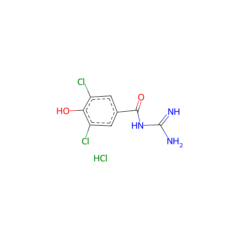 Cl.N=C(N)NC(=O)c1cc(Cl)c(O)c(Cl)c1